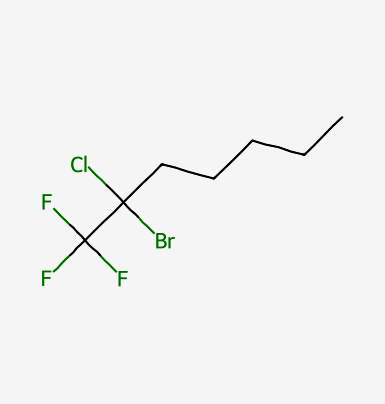 CCCCCC(Cl)(Br)C(F)(F)F